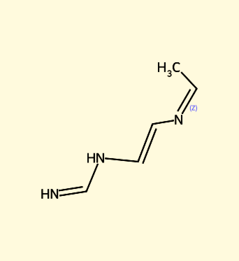 C/C=N\C=CNC=N